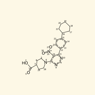 O=C(O)C1CCN(c2ncnc(-c3ccc(C4CCCCC4)cc3)c2[N+](=O)[O-])CC1